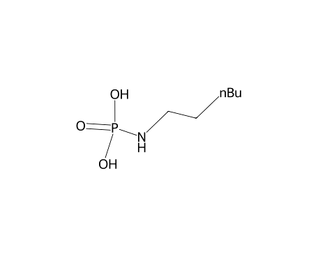 CCCCCCNP(=O)(O)O